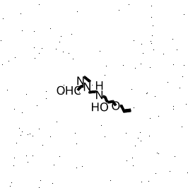 C=CCOCC(O)CNCCN1CCN=C1C=O